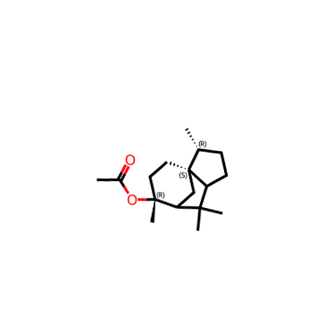 CC(=O)O[C@]1(C)CC[C@@]23CC1C(C)(C)C2CC[C@H]3C